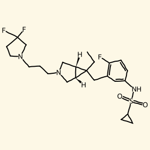 CCC1(Cc2cc(NS(=O)(=O)C3CC3)ccc2F)[C@@H]2CN(CCCN3CCC(F)(F)C3)C[C@@H]21